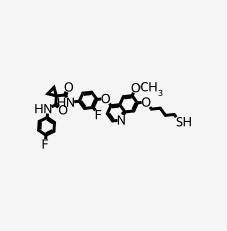 COc1cc2c(Oc3ccc(NC(=O)C4(C(=O)Nc5ccc(F)cc5)CC4)cc3F)ccnc2cc1OCCCCS